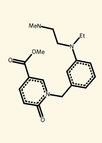 CCN(CCNC)c1cccc(Cn2cc(C(=O)OC)ccc2=O)c1